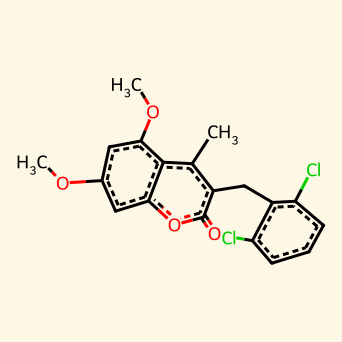 COc1cc(OC)c2c(C)c(Cc3c(Cl)cccc3Cl)c(=O)oc2c1